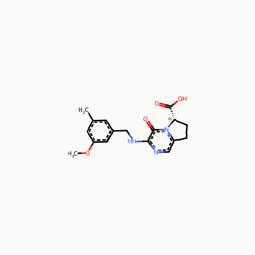 COc1cc(C)cc(CNc2ncc3n(c2=O)[C@H](C(=O)O)CC3)c1